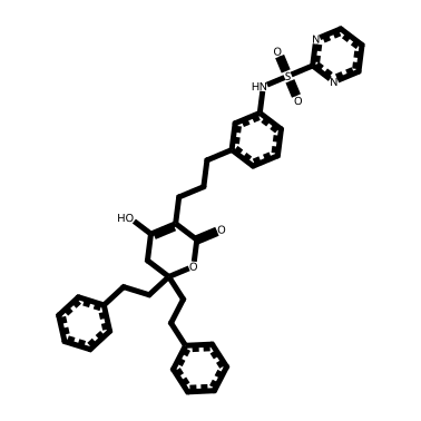 O=C1OC(CCc2ccccc2)(CCc2ccccc2)CC(O)=C1CCCc1cccc(NS(=O)(=O)c2ncccn2)c1